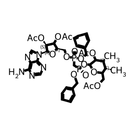 CC(=O)OCC1OC(OP(=O)(CP(=O)(OCc2ccccc2)OC[C@H]2O[C@@H](n3cnc4c(N)ncnc43)[C@@H](OC(C)=O)C2OC(C)=O)OCc2ccccc2)C(OC(C)=O)[C@@H](C)[C@@H]1C